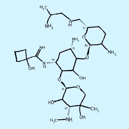 CN[C@@H]1C(O)[C@@H](OC2C(O)C(O[C@H]3O[C@H](CNCC(C)N)CCC3N)[C@@H](N)C[C@H]2NC(=N)C2(O)CCC2)OCC1(C)O